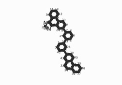 c1cc(-c2cccc(-c3ccc4c5ccccc5c5nsnc5c4c3)c2)cc(-c2ccc3c(ccc4ccccc43)c2)c1